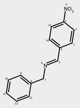 O=[N+]([O-])c1ccc(/C=N/Cc2ccccc2)cc1